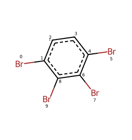 Brc1[c]cc(Br)c(Br)c1Br